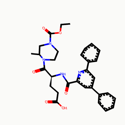 CCOC(=O)N1CCN(C(=O)[C@H](CCC(=O)O)NC(=O)c2cc(-c3ccccc3)cc(-c3ccccc3)n2)C(C)C1